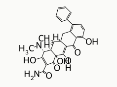 CN(C)[C@H]1C(O)=C(C(N)=O)C(=O)[C@@]2(O)C(O)=C3C(=O)c4c(O)ccc(-c5ccccc5)c4C[C@H]3C[C@H]12